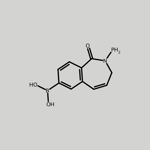 O=C1c2ccc(B(O)O)cc2C=CCN1P